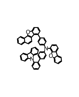 c1ccc(-n2c3ccccc3c3ccccc32)c(-c2ccc(N(c3ccc(-c4cccc5oc6c7ccccc7ccc6c45)cc3)c3cccc4c3oc3ccccc34)cc2)c1